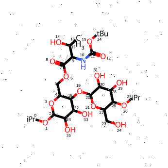 CC(C)OC1OC(COC(=O)C(NC(=O)OC(C)(C)C)C(C)O)C(OC2OC(CO)C(OC(C)C)C(O)C2O)C(O)C1O